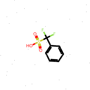 O=S(=O)(O)C(F)(F)c1ccccc1